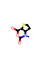 Cn1c(=O)oc(=O)c2sccc21